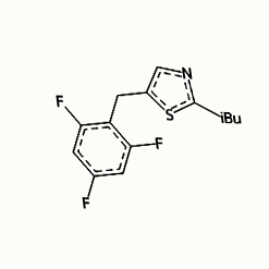 CCC(C)c1ncc(Cc2c(F)cc(F)cc2F)s1